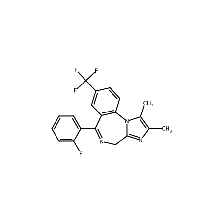 Cc1nc2n(c1C)-c1ccc(C(F)(F)F)cc1C(c1ccccc1F)=NC2